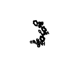 CC(C)(C)S(=O)(=O)Nc1ccc(C(=O)Nc2cccc(S(=O)(=O)NC3CCCCC3)c2)cc1